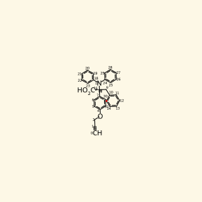 C#CCOc1ccc([C@](Cc2ccccc2)(C(=O)O)N(c2ccccc2)c2ccccc2)cc1